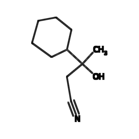 CC(O)(CC#N)C1CCCCC1